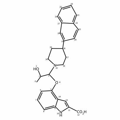 CC(O)C(Oc1cccc2[nH]c(C(=O)O)cc12)N1CCC(c2ccc3ccccc3c2)CC1